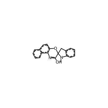 CN1c2ccccc2CC12Oc1ccc3ccccc3c1N=C2O